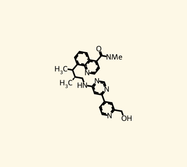 CNC(=O)c1ccnc2c(C(C)[C@H](C)CNc3cc(-c4ccnc(CO)c4)ncn3)cccc12